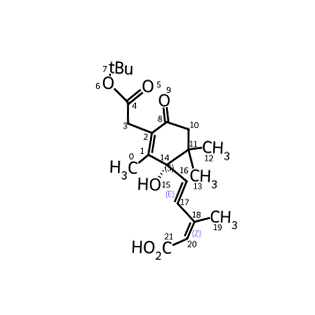 CC1=C(CC(=O)OC(C)(C)C)C(=O)CC(C)(C)[C@@]1(O)/C=C/C(C)=C\C(=O)O